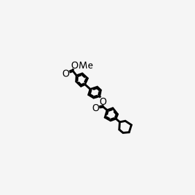 COC(=O)c1ccc(-c2ccc(OC(=O)c3ccc(C4CCCCC4)cc3)cc2)cc1